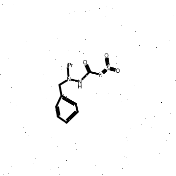 CC(C)N(Cc1ccccc1)NC(=O)N=S(=O)=O